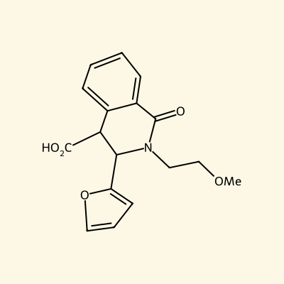 COCCN1C(=O)c2ccccc2C(C(=O)O)C1c1ccco1